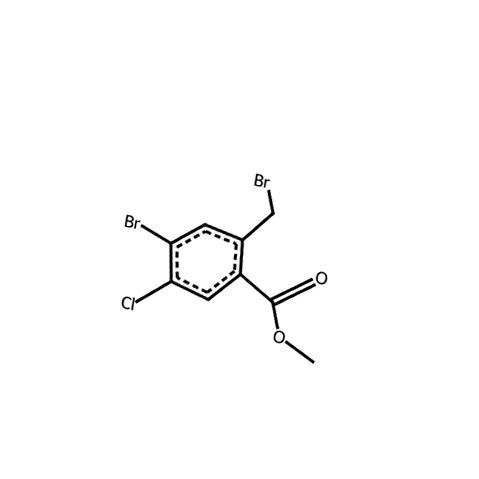 COC(=O)c1cc(Cl)c(Br)cc1CBr